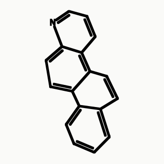 c1ccc2c(c1)ccc1c3cccnc3ccc21